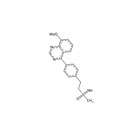 COc1cccc2c(-c3ccc(CCS(C)(=N)=O)cc3)ncnc12